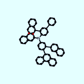 c1ccc(-c2ccc(N(c3ccc(-c4cc5ccccc5c5ccccc45)c(-c4ccc5ccccc5c4)c3)c3ccc4ccccc4c3)c(-c3cccc4ccccc34)c2)cc1